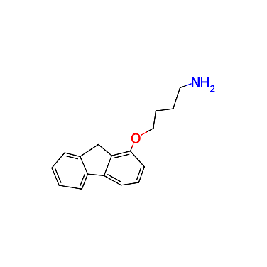 NCCCCOc1cccc2c1Cc1ccccc1-2